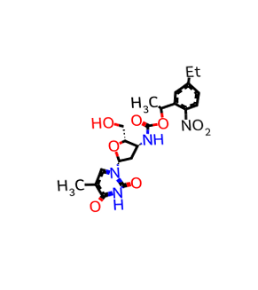 CCc1ccc([N+](=O)[O-])c(C(C)OC(=O)N[C@@H]2C[C@H](n3cc(C)c(=O)[nH]c3=O)O[C@@H]2CO)c1